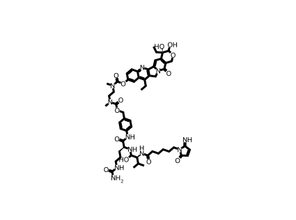 CCc1c2c(nc3ccc(OC(=O)N(C)CCN(C)C(=O)OCc4ccc(NC(=O)[C@H](CCCNC(N)=O)NC(O)[C@@H](NC(=O)CCCCCN5C(=N)C=CC5=O)C(C)C)cc4)cc13)-c1cc3c(c(=O)n1C2)COC(O)[C@]3(O)CC